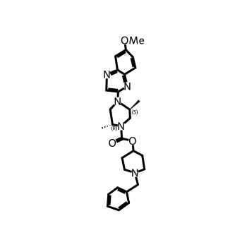 COc1ccc2nc(N3C[C@@H](C)N(C(=O)OC4CCN(Cc5ccccc5)CC4)C[C@@H]3C)cnc2c1